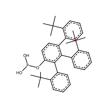 CC(C)(C)c1ccccc1-c1ccc(OP(O)O)c(-c2ccccc2C(C)(C)C)c1-c1ccccc1C(C)(C)C